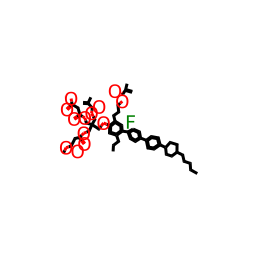 C=C(C)C(=O)OCCCc1cc(-c2ccc(-c3ccc(C4CCC(CCCCC)CC4)cc3)cc2F)c(CCC)cc1OCC(COC(=O)CC(=O)OC)(COC(=O)CC(=O)OC)COC(=O)C(=C)C